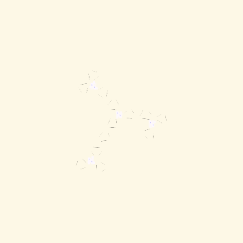 CC1(C)c2cc(N(c3ccc(-c4ccc(-c5ccc6c(c5)c5ccccc5n6-c5ccccc5)cc4)cc3)c3ccc(-c4ccc5c6ccccc6n(-c6ccccc6)c5c4)cc3)ccc2-c2ccc(-n3c4ccccc4c4ccccc43)cc21